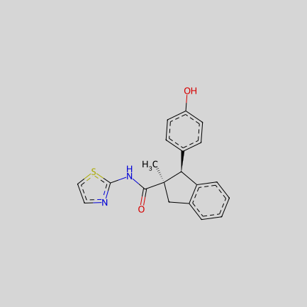 C[C@@]1(C(=O)Nc2nccs2)Cc2ccccc2[C@@H]1c1ccc(O)cc1